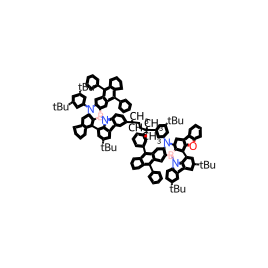 CC(C)(C)c1cc(N2c3cc4c(-c5ccccc5)c5ccccc5c(-c5ccccc5)c4cc3B3c4c2cc2ccccc2c4-c2cc(C(C)(C)C)cc4c5cc(C(C)(C)CCC(C)(C)c6cc(N7c8cc9c(-c%10ccccc%10)c%10ccccc%10c(-c%10ccccc%10)c9cc8B8c9c7cc7c(oc%10ccccc%107)c9-c7cc(C(C)(C)C)cc9c%10cc(C(C)(C)C)ccc%10n8c79)cc(C(C)(C)C)c6)ccc5n3c24)cc(C(C)(C)C)c1